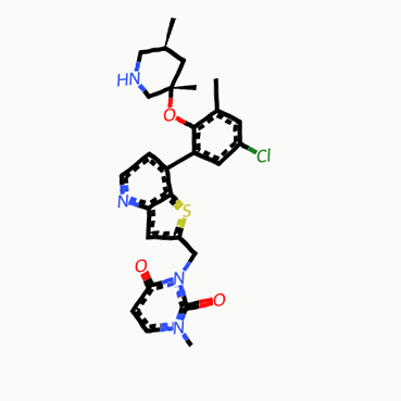 Cc1cc(Cl)cc(-c2ccnc3cc(Cn4c(=O)ccn(C)c4=O)sc23)c1O[C@]1(C)CNC[C@@H](C)C1